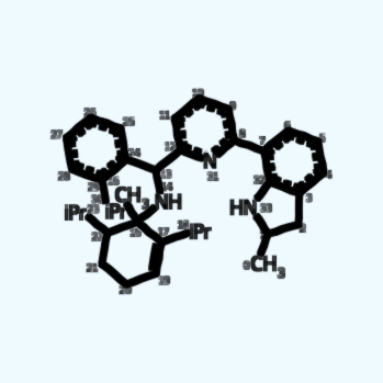 CC1Cc2cccc(-c3cccc(C(NC4(C)C(C(C)C)=CCCC4C(C)C)c4ccccc4C(C)C)n3)c2N1